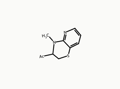 CC(=O)C1CSc2cccnc2N1C